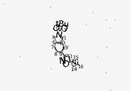 CC(C)(C)OC(=O)N1Cc2ccc(-c3cc([Si](C)(C)C)on3)cc2C1